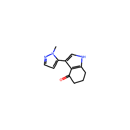 Cn1nccc1-c1c[nH]c2c1C(=O)CCC2